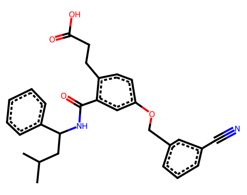 CC(C)CC(NC(=O)c1cc(OCc2cccc(C#N)c2)ccc1CCC(=O)O)c1ccccc1